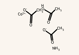 CC(=O)O.CC(=O)[O-].CC(=O)[O-].N.[Co+2]